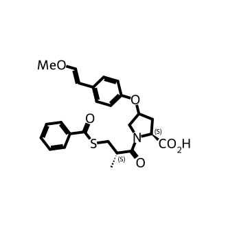 COC=Cc1ccc(OC2C[C@@H](C(=O)O)N(C(=O)[C@H](C)CSC(=O)c3ccccc3)C2)cc1